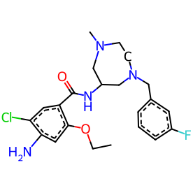 CCOc1cc(N)c(Cl)cc1C(=O)NC1CN(C)CCN(Cc2cccc(F)c2)C1